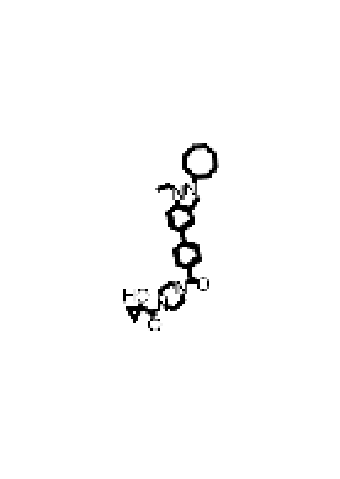 CCN1c2ccc(-c3ccc(C(=O)N4CCN(C(=O)C5(O)CC5)CC4)cc3)cc2CN1C1CCCCCCC1